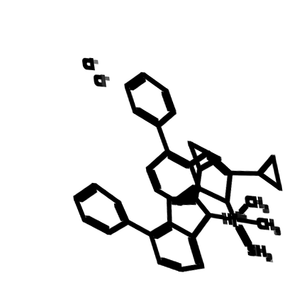 [CH3][Hf+2]([CH3])(=[SiH2])([CH]1C(C2CC2)=Cc2c(-c3ccccc3)cccc21)[CH]1C(C2CC2)=Cc2c(-c3ccccc3)cccc21.[Cl-].[Cl-]